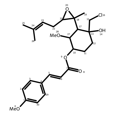 COc1ccc(C=CC(=O)OC2CCC(O)(CCl)C(C3(C)OC3CC=C(C)C)C2OC)cc1